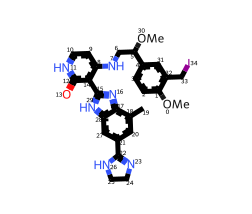 COc1ccc(C(CNc2cc[nH]c(=O)c2-c2nc3c(C)cc(C4=NCCN4)cc3[nH]2)OC)cc1CI